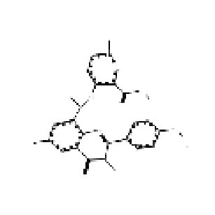 COC(=O)c1nc(Cl)ccc1NC(C)c1cc(C)cc2c1N=C(c1ccc(OC)cc1)C(C)C2=O